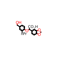 CCCc1cc(CO)ccc1OC(C(=O)O)c1ccc2c(c1)OCO2